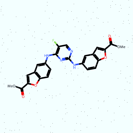 COC(=O)c1cc2cc(Nc3ncc(F)c(Nc4ccc5oc(C(=O)OC)cc5c4)n3)ccc2o1